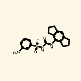 Nc1cccc(S(=O)(=O)NC(=O)Nc2c3c(cc4c2CCC4)CCC3)c1